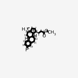 COC(=O)CC[C@@H]1CC[C@@]2(C)CC[C@@H]3c4ccc(F)cc4CC[C@H]3[C@H]12